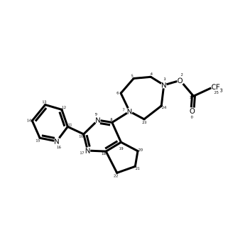 O=C(ON1CCCN(c2nc(-c3ccccn3)nc3c2CCC3)CC1)C(F)(F)F